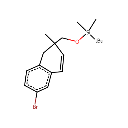 CC1(CO[Si](C)(C)C(C)(C)C)C=Cc2cc(Br)ccc2C1